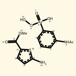 CC(=O)Nc1cccc([As](=O)(O)OO)c1.COC(=O)c1ccc(N)s1